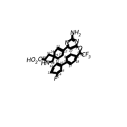 Nc1nc(OC(c2ccc(-c3cccc(F)c3)cc2)C(F)(F)F)cc(C2=CCC3(CC2)CNC(C(=O)O)C3)n1